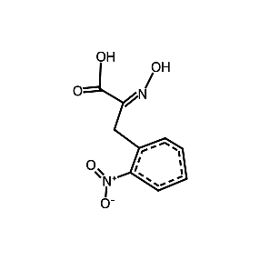 O=C(O)C(Cc1ccccc1[N+](=O)[O-])=NO